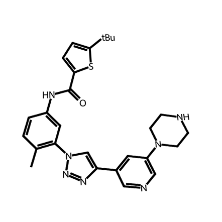 Cc1ccc(NC(=O)c2ccc(C(C)(C)C)s2)cc1-n1cc(-c2cncc(N3CCNCC3)c2)nn1